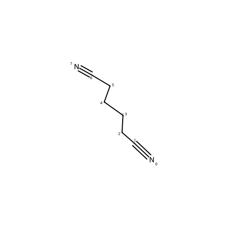 N#CC[CH]CCC#N